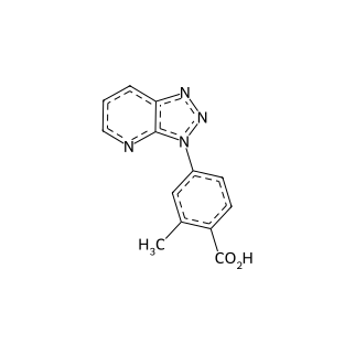 Cc1cc(-n2nnc3cccnc32)ccc1C(=O)O